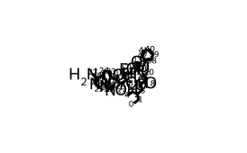 CCC(CC)COC(=O)[C@H](C)NP(=O)(OC[C@@]1(F)O[C@@](C#N)(c2ccc3c(N)ncnn23)[C@H](O)[C@@H]1O)Oc1ccccc1